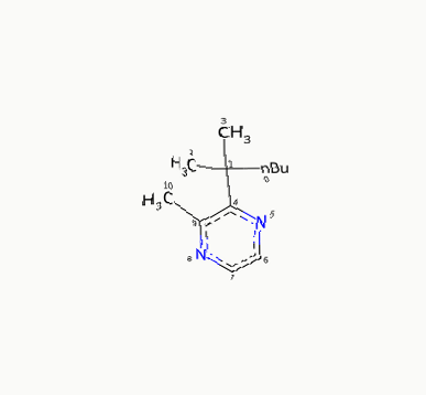 CCCCC(C)(C)c1nccnc1C